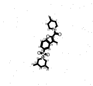 Cc1c(C(=O)N2CCC(C)CC2)oc2ccc(S(=O)(=O)N3CC(C)CC(C)C3)cc12